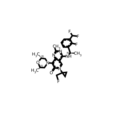 Cc1nc(N[C@H](C)c2cccc(C(F)F)c2F)c2cn(C3(CF)CC3)c(=O)c(N3C[C@@H](C)O[C@@H](C)C3)c2n1